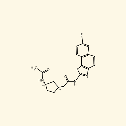 CC(=O)N[C@@H]1CC[C@H](CC(=O)Nc2nc3ccc4cc(F)ccc4c3s2)C1